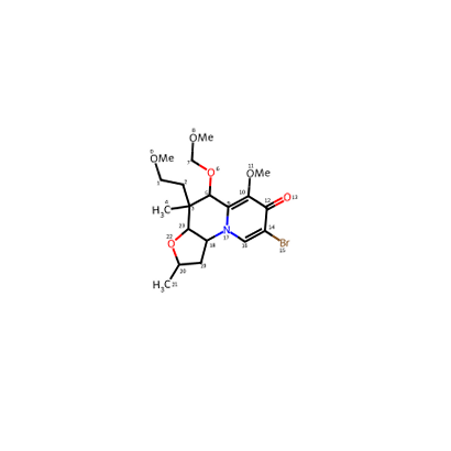 COCCC1(C)C(OCOC)c2c(OC)c(=O)c(Br)cn2C2CC(C)OC21